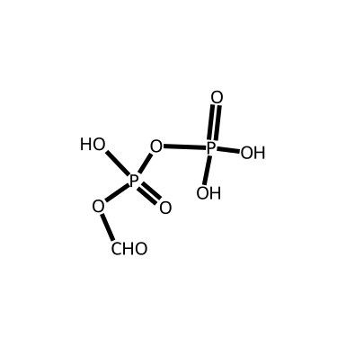 O=COP(=O)(O)OP(=O)(O)O